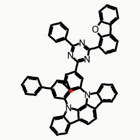 c1ccc(-c2cccc(-n3c4ccccc4c4ccc5c6ccccc6n(-c6cccc(-c7nc(-c8ccccc8)nc(-c8cccc9c8oc8ccccc89)n7)c6)c5c43)c2)cc1